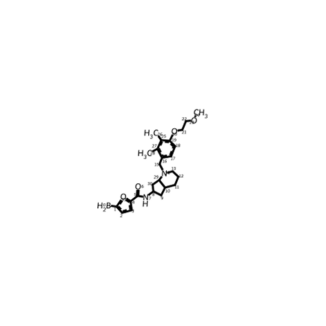 Bc1ccc(C(=O)NC2CC3CCCN(Cc4ccc(OCCOC)c(C)c4C)C3C2)o1